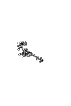 O=C(CCN1C(=O)C=CC1=O)NCCOCCOCCOCCOCCOCCOCCOCCC(=O)Nc1cc(CCC(=O)N2C[C@@H](CCl)c3c2cc(O[C@@H]2O[C@H](CO)[C@H](O)[C@H](O)[C@H]2O)c2ccccc32)ccc1/C=C/C(=O)N1C[C@@H](CCl)c2c1cc(O[C@@H]1O[C@H](CO)[C@H](O)[C@H](O)[C@H]1O)c1ccccc21